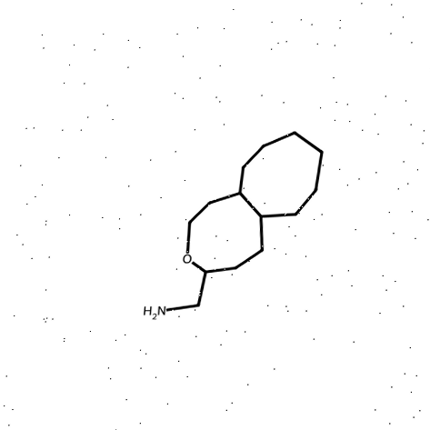 NCC1CCC2CCCCCCC2CCO1